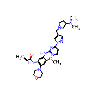 C=CC(=O)Nc1cc(Nc2nccc(-n3cc(CN4CCC(N(C)C)C4)cn3)n2)c(OC)cc1N1CCOCC1